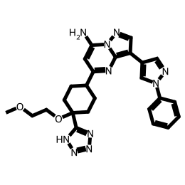 COCCOC1(c2nnn[nH]2)CCC(c2cc(N)n3ncc(-c4cnn(-c5ccccc5)c4)c3n2)CC1